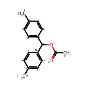 CC(=O)OC(c1ccc(C)cc1)c1ccc(C)cc1